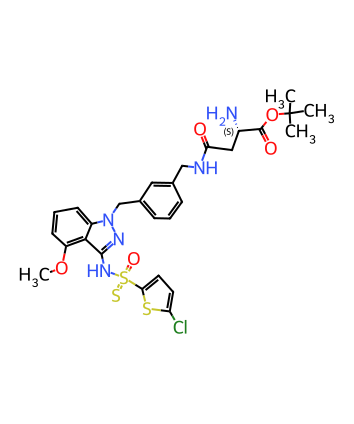 COc1cccc2c1c(NS(=O)(=S)c1ccc(Cl)s1)nn2Cc1cccc(CNC(=O)C[C@H](N)C(=O)OC(C)(C)C)c1